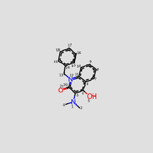 CN(C)c1c(O)c2ccccc2n(Cc2ccccc2)c1=O